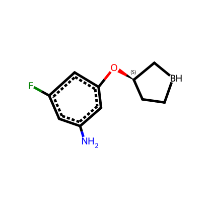 Nc1cc(F)cc(O[C@H]2CBCC2)c1